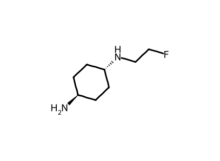 N[C@H]1CC[C@H](NCCF)CC1